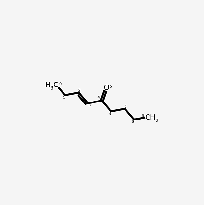 CC/C=C/C(=O)CCCC